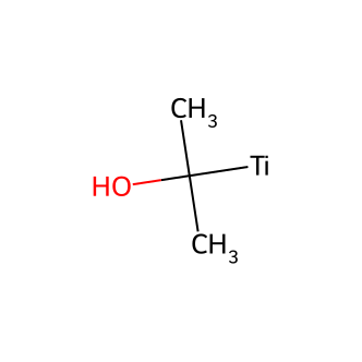 C[C](C)(O)[Ti]